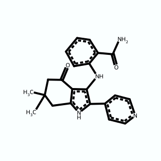 CC1(C)CC(=O)c2c([nH]c(-c3ccncc3)c2Nc2ccccc2C(N)=O)C1